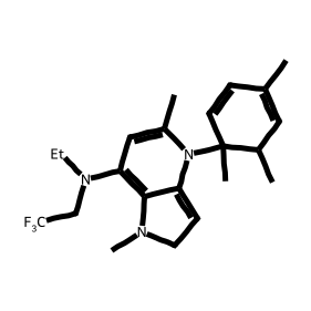 CCN(CC(F)(F)F)C1=C2C(=CCN2C)N(C2(C)C=CC(C)=CC2C)C(C)=C1